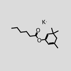 CCCCCC(=O)OC1=CC(C)(C)CC(C)=C1.[K]